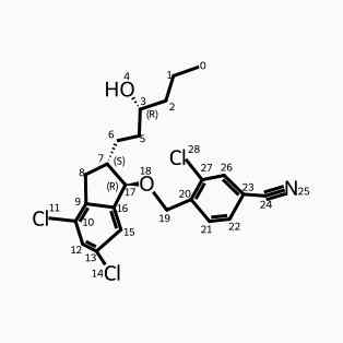 CCC[C@@H](O)CC[C@H]1Cc2c(Cl)cc(Cl)cc2[C@@H]1OCc1ccc(C#N)cc1Cl